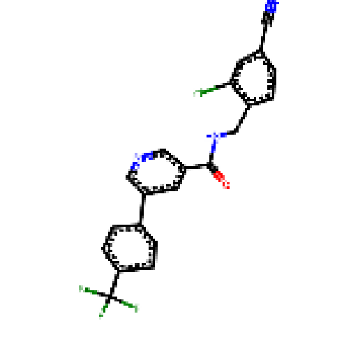 N#Cc1ccc(CNC(=O)c2cncc(-c3ccc(C(F)(F)F)cc3)c2)c(Cl)c1